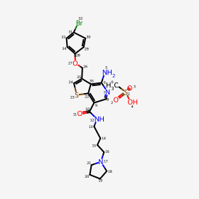 CS(=O)(=O)O.Nc1ncc(C(=O)NCCCCN2CCCC2)c2scc(COc3ccc(Br)cc3)c12